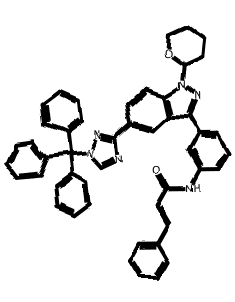 O=C(/C=C/c1ccccc1)Nc1cccc(-c2nn(C3CCCCO3)c3ccc(-c4ncn(C(c5ccccc5)(c5ccccc5)c5ccccc5)n4)cc23)c1